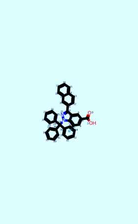 O=C(O)c1cc(F)c2c(c1)c(-c1ccc3ccccc3c1)nn2C(c1ccccc1)(c1ccccc1)c1ccccc1